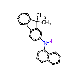 CC1(C)c2ccccc2-c2ccc(N(I)c3cccc4ccccc34)cc21